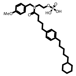 COc1ccc(CN(CCOP(=O)(O)O)C(=O)CCCCc2ccc(CCCCCC3CCCCC3)cc2)cc1